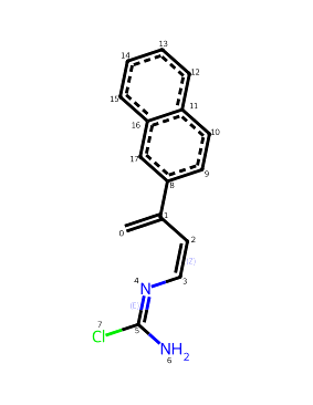 C=C(/C=C\N=C(/N)Cl)c1ccc2ccccc2c1